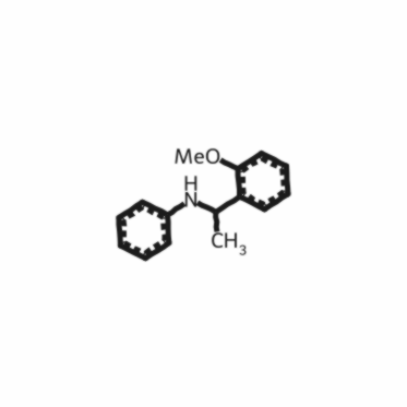 COc1ccccc1C(C)Nc1ccccc1